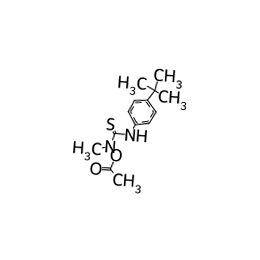 CC(=O)ON(C)C(=S)Nc1ccc(C(C)(C)C)cc1